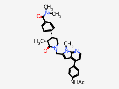 CC(=O)Nc1ccc(-c2ccnc3c2cc(CN2CC[C@@H](c4ccc(C(=O)N(C)C)cc4)[C@H](C)C2=O)n3C)cc1